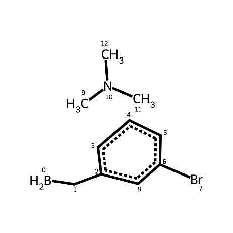 BCc1cccc(Br)c1.CN(C)C